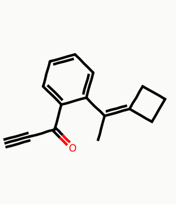 C#CC(=O)c1ccccc1C(C)=C1CCC1